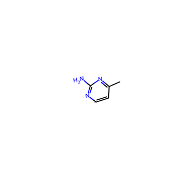 Cc1c[c]nc(N)n1